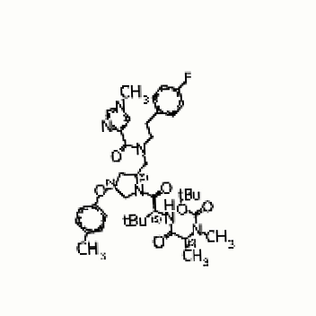 Cc1ccc(O[C@H]2C[C@@H](CN(CCc3ccc(F)cc3)C(=O)c3cn(C)cn3)N(C(=O)[C@@H](NC(=O)[C@H](C)N(C)C(=O)OC(C)(C)C)C(C)(C)C)C2)cc1